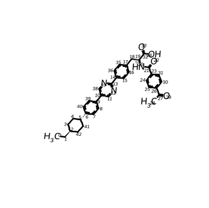 CC[C@H]1CC[C@H](c2ccc(-c3cnc(-c4ccc(C[C@H](NC(=O)c5ccc(C(C)=O)cc5)C(=O)O)cc4)nc3)cc2)CC1